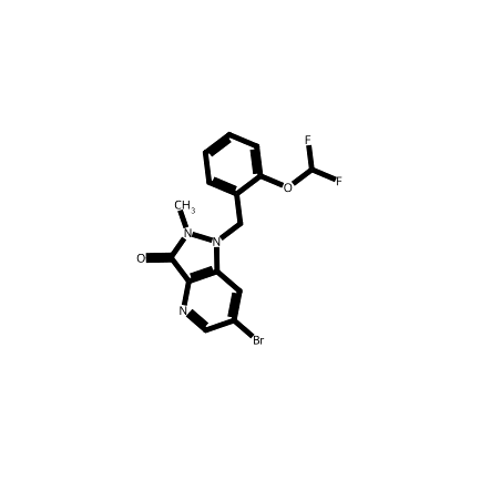 Cn1c(=O)c2ncc(Br)cc2n1Cc1ccccc1OC(F)F